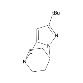 CC(C)(C)c1cc2n(n1)C1CCN(CC1)C2